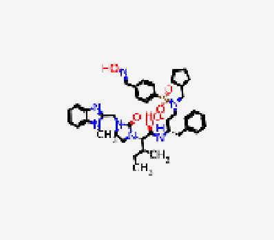 CC[C@H](C)[C@@H](C(=O)N[C@@H](Cc1ccccc1)[C@H](O)CN(CC1CCCC1)S(=O)(=O)c1ccc(/C=N/O)cc1)N1CCN(Cc2nc3ccccc3n2C)C1=O